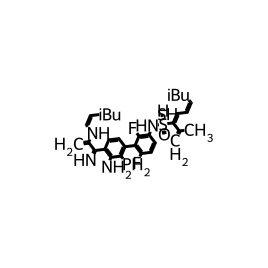 C=C(N/C=C\C(C)CC)C(=N)c1ccc(-c2c(F)ccc(N[SH](=O)(S)/C(=C/C=C\C(C)CC)C(=C)C)c2F)c(P)c1N